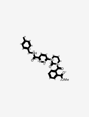 COC(=O)c1ccccc1C(=O)N1CCCN(c2ccc(C(=O)NCc3ccc(C)cc3)nn2)C1=O